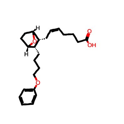 O=C(O)CCC/C=C\C[C@@H]1[C@H](CCCCOc2ccccc2)[C@@H]2CC[C@H]1O2